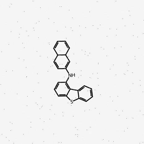 C1=CC2C=CC(Nc3cccc4sc5ccccc5c34)=CC2C=C1